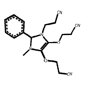 CN1C(OCCC#N)=C(OCCC#N)N(CCC#N)C1c1ccccc1